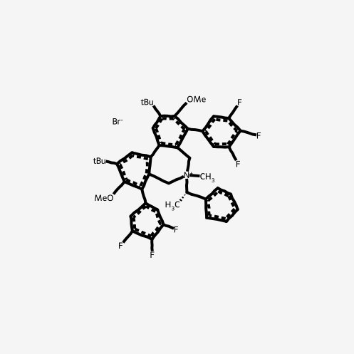 COc1c(C(C)(C)C)cc2c(c1-c1cc(F)c(F)c(F)c1)C[N+](C)([C@@H](C)c1ccccc1)Cc1c-2cc(C(C)(C)C)c(OC)c1-c1cc(F)c(F)c(F)c1.[Br-]